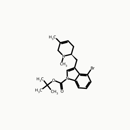 CC1=CC[C@@H](Cc2cn(C(=O)OC(C)(C)C)c3cccc(Br)c23)N(C)C1